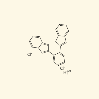 C1=CC2=CC(c3ccccc3C3=Cc4ccccc4C3)=CC2C=C1.[Cl-].[Cl-].[Hf+2]